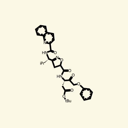 CC(C)[C@H](NC(=O)c1ccc2ccccc2n1)C1=NOC(C(=O)N[C@@H](CC(=O)OC(C)(C)C)C(=O)COc2ccccc2)C1